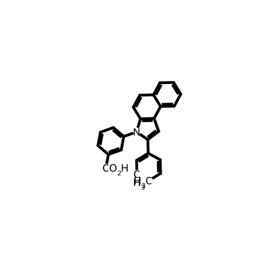 C/C=C\C(=C/C)c1cc2c3ccccc3ccc2n1-c1cccc(C(=O)O)c1